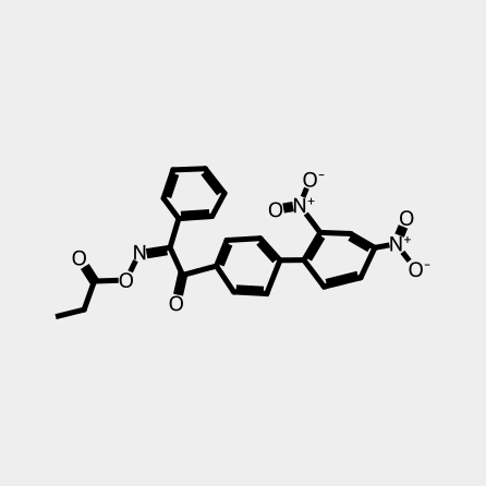 CCC(=O)O/N=C(\C(=O)c1ccc(-c2ccc([N+](=O)[O-])cc2[N+](=O)[O-])cc1)c1ccccc1